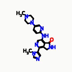 CN1CCN(c2ccc(Nc3cnc(-c4cncn4C)c4c3C(=O)NC4)nc2)CC1